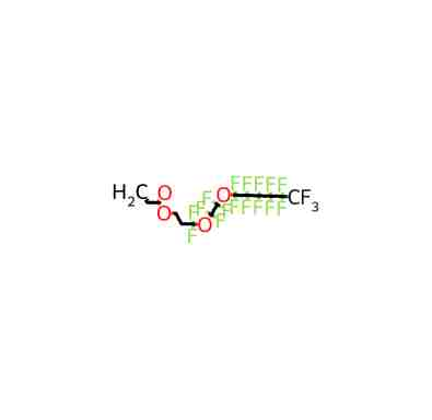 C=CC(=O)OCCC(F)(F)OC(F)(F)C(F)(F)OC(F)(F)C(F)(F)C(F)(F)C(F)(F)C(F)(F)C(F)(F)F